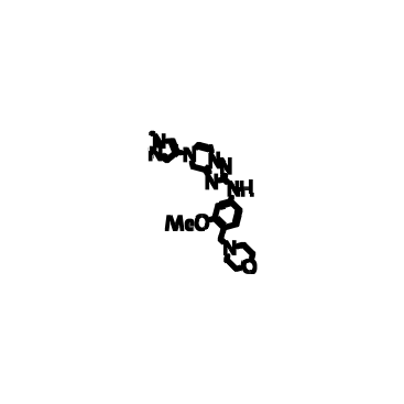 COc1cc(Nc2nc3n(n2)C=CN(c2cnn(C)c2)C3)ccc1CN1CCOCC1